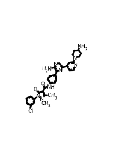 Cc1c(C(=O)Nc2ccc(-c3nc(-c4ccnc(N5CCC(N)CC5)c4)cnc3N)cc2)c(=O)n(-c2cccc(Cl)c2)n1C